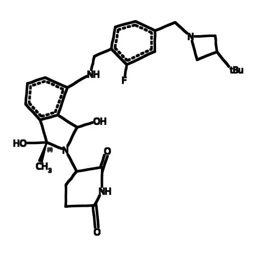 CC(C)(C)C1CN(Cc2ccc(CNc3cccc4c3C(O)N(C3CCC(=O)NC3=O)[C@]4(C)O)c(F)c2)C1